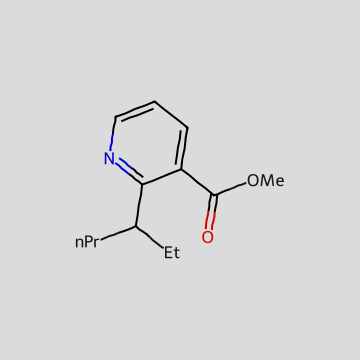 CCCC(CC)c1ncccc1C(=O)OC